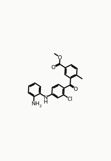 COC(=O)c1ccc(C)c(C(=O)c2ccc(Nc3ccccc3N)cc2Cl)c1